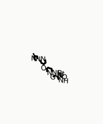 CCn1c(C(=O)Nc2ccc(Oc3ccnc(-n4cnc(C)c4)c3)cn2)c[nH]c1=O